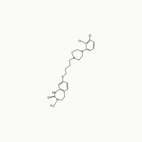 CN1CCc2ccc(OCCCCN3CCN(c4cccc(Cl)c4Cl)CC3)cc2NC1=O